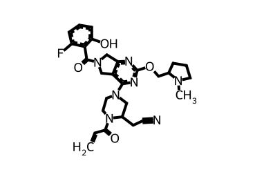 C=CC(=O)N1CCN(c2nc(OCC3CCCN3C)nc3c2CN(C(=O)c2c(O)cccc2F)C3)CC1CC#N